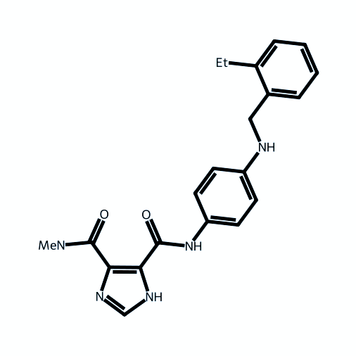 CCc1ccccc1CNc1ccc(NC(=O)c2[nH]cnc2C(=O)NC)cc1